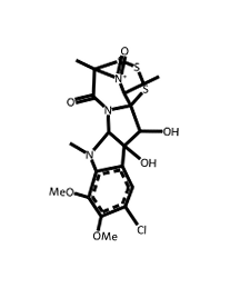 COc1c(Cl)cc2c(c1OC)N(C)C1N3C(=O)C4(C)SSSC3(C(C)[N+]4=O)C(O)C21O